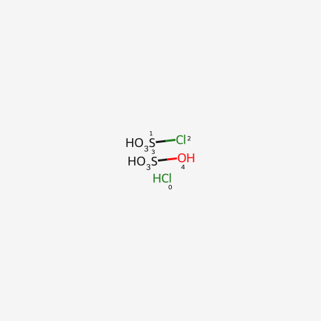 Cl.O=S(=O)(O)Cl.O=S(=O)(O)O